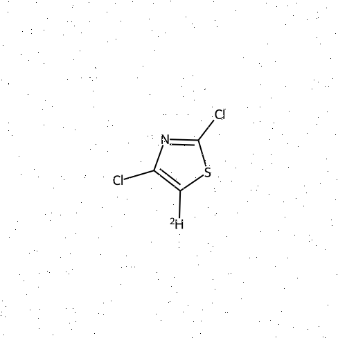 [2H]c1sc(Cl)nc1Cl